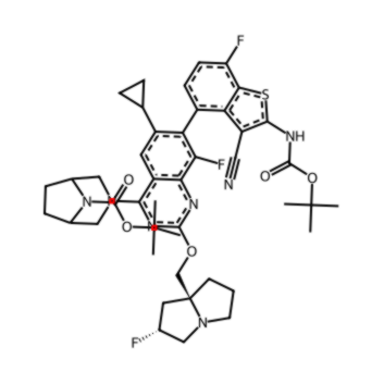 CC(C)(C)OC(=O)Nc1sc2c(F)ccc(-c3c(C4CC4)cc4c(N5CC6CCC(C5)N6C(=O)OC(C)(C)C)nc(OC[C@@]56CCCN5C[C@H](F)C6)nc4c3F)c2c1C#N